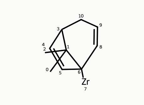 CC1(C)C2C=C[C]1([Zr])C=CC2